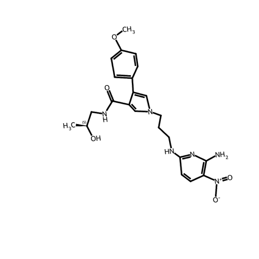 COc1ccc(-c2cn(CCCNc3ccc([N+](=O)[O-])c(N)n3)cc2C(=O)NC[C@H](C)O)cc1